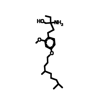 CCC(N)(CO)CCc1ccc(OCCCC(C)CCCC(C)C)cc1OC